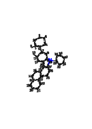 Cc1ccccc1-c1cc2c(cc1C)c1c3ccc4ccccc4c3ccc1n2-c1ccccc1